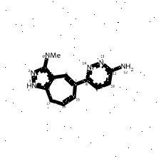 CNc1n[nH]c2c1C=C(c1ccc(N)nn1)C=CC2